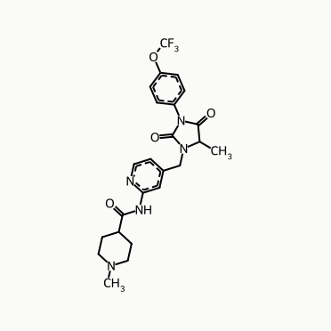 CC1C(=O)N(c2ccc(OC(F)(F)F)cc2)C(=O)N1Cc1ccnc(NC(=O)C2CCN(C)CC2)c1